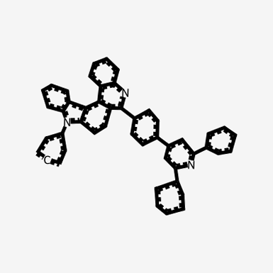 c1ccc(-c2cc(-c3ccc(-c4nc5ccccc5c5c4ccc4c5c5ccccc5n4-c4ccccc4)cc3)cc(-c3ccccc3)n2)cc1